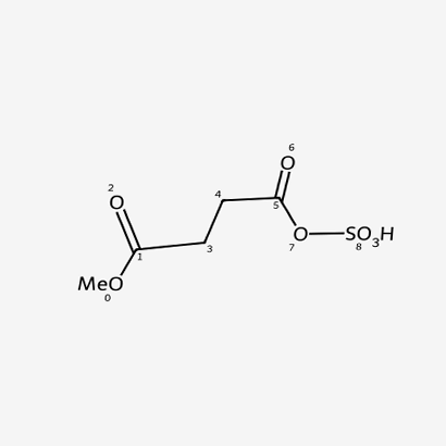 COC(=O)CCC(=O)OS(=O)(=O)O